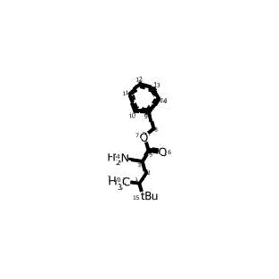 CC(CC(N)C(=O)OCc1ccccc1)C(C)(C)C